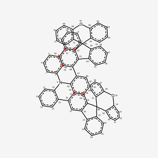 c1ccc(-c2cccc(N(c3ccccc3-c3ccc4c(c3)-c3ccccc3C43c4ccccc4Oc4ccccc43)c3ccccc3-c3cccc4c3-c3ccccc3C43c4ccccc4Oc4ccccc43)c2)cc1